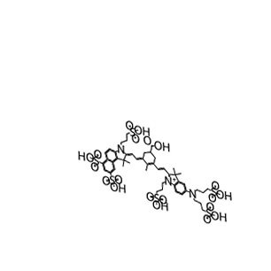 CC1=C(/C=C/C2=[N+](CCCS(=O)(=O)O)c3ccc(N(CCCS(=O)(=O)O)CCCS(=O)(=O)O)cc3C2(C)C)CC(C(=O)O)C/C1=C\C=C1\N(CCCS(=O)(=O)O)c2ccc3c(S(=O)(=O)O)cc(S(=O)(=O)O)cc3c2C1(C)C